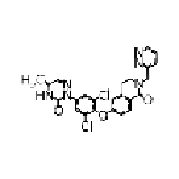 C=C1C=NN(c2cc(Cl)c(Oc3ccc4c(c3)CCN(Cc3cccnn3)C4=O)c(Cl)c2)C(=O)N1